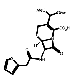 COC(OC)C1=C(C(=O)O)N2C(=O)[C@@H](NC(=O)Cc3cccs3)[C@H]2SC1